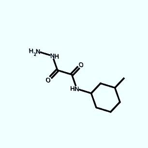 CC1CCCC(NC(=O)C(=O)NN)C1